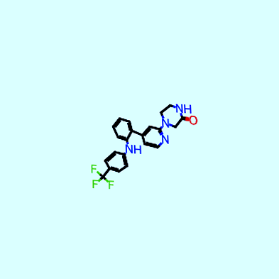 O=C1CN(c2cc(-c3ccccc3Nc3ccc(C(F)(F)F)cc3)ccn2)CCN1